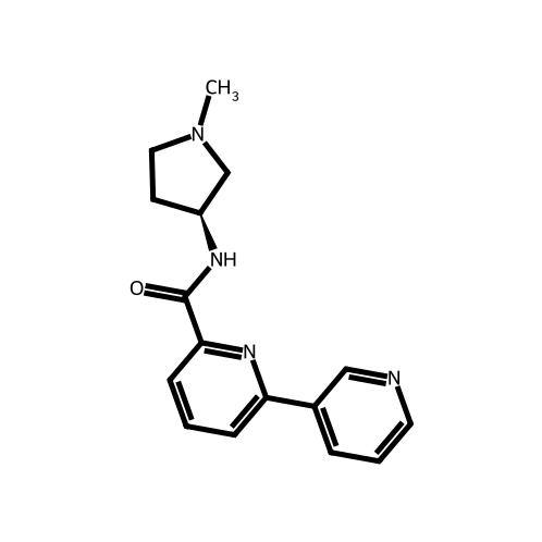 CN1CC[C@H](NC(=O)c2cccc(-c3cccnc3)n2)C1